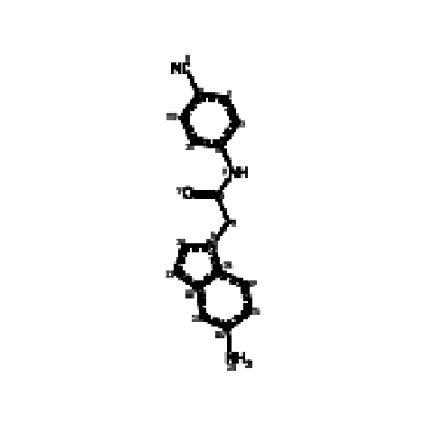 N#Cc1ccc(NC(=O)Cn2ccc3cc(N)ccc32)cc1